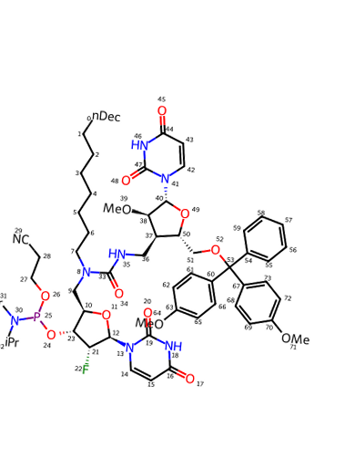 CCCCCCCCCCCCCCCCCN(C[C@H]1O[C@@H](n2ccc(=O)[nH]c2=O)[C@H](F)[C@@H]1OP(OCCC#N)N(C(C)C)C(C)C)C(=O)NC[C@H]1[C@@H](OC)[C@H](n2ccc(=O)[nH]c2=O)O[C@@H]1COC(c1ccccc1)(c1ccc(OC)cc1)c1ccc(OC)cc1